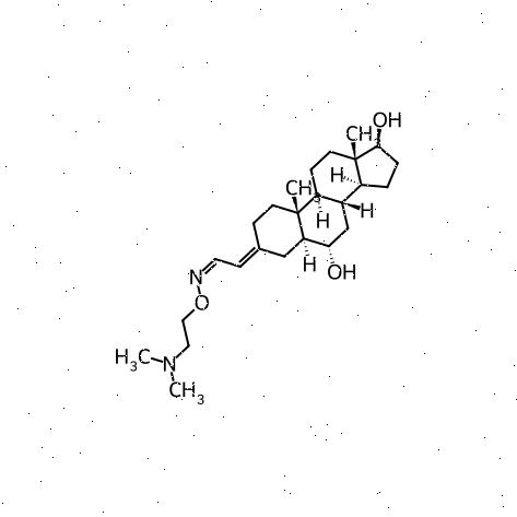 CN(C)CCO/N=C\C=C1/CC[C@@]2(C)[C@H](C1)[C@@H](O)C[C@@H]1[C@@H]2CC[C@]2(C)[C@@H](O)CC[C@@H]12